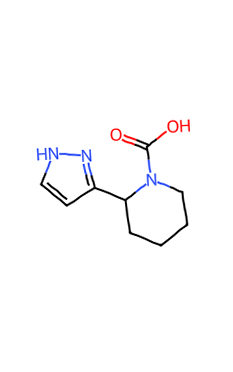 O=C(O)N1CCCCC1c1cc[nH]n1